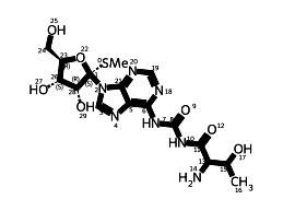 CS[C@@]1(n2cnc3c(NC(=O)NC(=O)C(N)C(C)O)ncnc32)O[C@H](CO)[C@@H](O)[C@H]1O